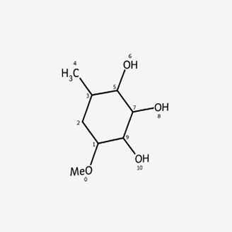 COC1CC(C)C(O)C(O)C1O